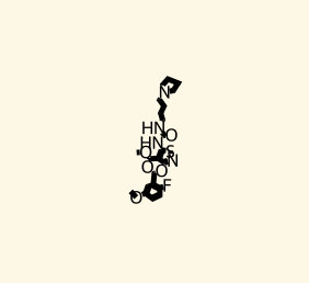 COC(=O)c1c(OCc2cc(OC)ccc2F)nsc1NC(=O)NCCCCN1CCCC1